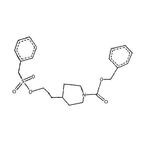 O=C(OCc1ccccc1)N1CCC(CCOS(=O)(=O)Cc2ccccc2)CC1